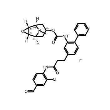 C[N+]1(C)[C@@H]2C[C@@H](OC(=O)Nc3cc(CCC(=O)Nc4ccc(C=O)cc4Cl)ccc3-c3ccccc3)C[C@H]1[C@@H]1O[C@@H]12.[I-]